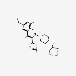 CCc1cc(F)c2nc(N3CC[C@@H](NC4CCOCC4)C[C@@H]3C)c(-c3nc(C)no3)c(C)c2c1